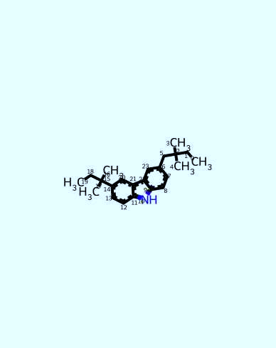 CCC(C)(C)Cc1ccc2[nH]c3ccc(C(C)(C)CC)cc3c2c1